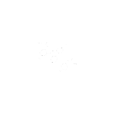 C=C(C)c1ccc(C)cc1-c1c(OCN(C(=O)OC)c2ccc([N+](=O)[O-])cc2)cc(CCCCC)cc1OCN(C(=O)OC)c1ccc([N+](=O)[O-])cc1